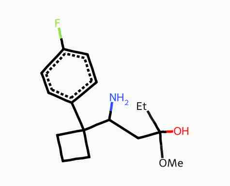 CCC(O)(CC(N)C1(c2ccc(F)cc2)CCC1)OC